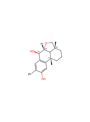 CC(C)c1cc2c(cc1O)[C@@]1(C)CCC[C@@]3(C)CO[C@H](C31)[C@@H]2O